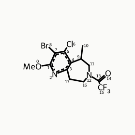 COc1nc2c(c(Cl)c1Br)C(C)CN(C(=O)C(F)(F)F)CC2